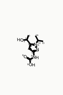 CC(O)c1cc(NC(=O)O)nn1C(C)C